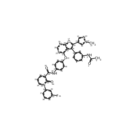 CC(=O)Nc1cccc(-c2c(-c3cnn(C)c3)oc3ncnc(Oc4ccc(NC(=O)c5cccn(-c6cccc(F)c6)c5=O)cc4)c23)c1